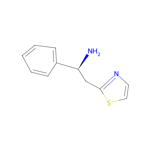 N[C@@H](Cc1nccs1)c1ccccc1